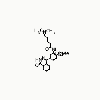 COc1ccc(-c2n[nH]c(=O)c3ccccc23)cc1NC(=O)CCCCN(C)C.Cl